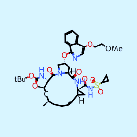 COCCOc1cnc(O[C@@H]2C[C@H]3C(=O)N[C@]4(C(=O)NS(=O)(=O)C5CC5)C[C@H]4/C=C\CC[C@@H](C)C[C@@H](C)[C@H](NC(=O)OC(C)(C)C)C(=O)N3C2)c2ccccc12